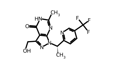 Cc1nc2c(c(CO)nn2[C@@H](C)c2ccc(C(F)(F)F)cn2)c(=O)[nH]1